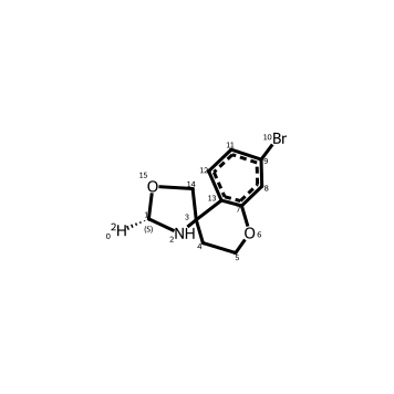 [2H][C@H]1NC2(CCOc3cc(Br)ccc32)CO1